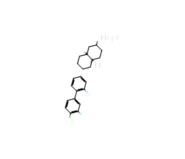 CCCCCCCC1CC[C@@H]2C[C@H](c3ccc(-c4ccc(Cl)c(F)c4)c(F)c3)CC[C@@H]2C1